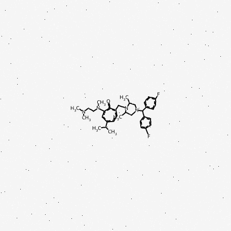 CC(C)c1ccc(CN2C(C)CN(C(c3ccc(F)cc3)c3ccc(F)cc3)CC2C)c(=O)c(N(C)CCN(C)C)c1